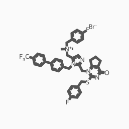 C[N+](C)(Cc1ccc(F)cc1)Cc1cnc(Cn2c(SCc3ccc(F)cc3)nc(=O)c3c2CCC3)n1Cc1ccc(-c2ccc(C(F)(F)F)cc2)cc1.[Br-]